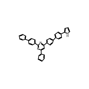 c1ccc(-c2ccc(-c3nc(-c4ccccc4)cc(-c4ccc(-c5ccc(-c6ccc[nH]6)cc5)cc4)n3)cc2)cc1